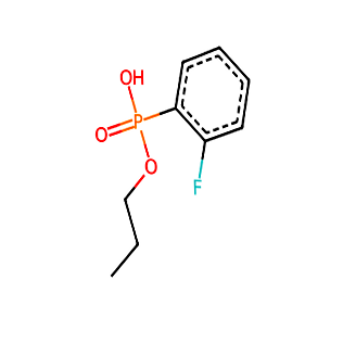 CCCOP(=O)(O)c1ccccc1F